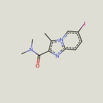 Cc1c(C(=O)N(C)C)nc2ccc(I)cn12